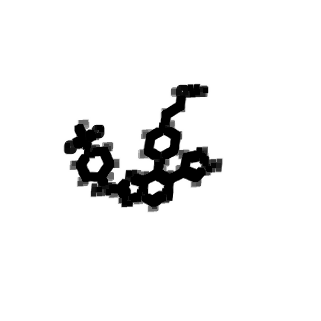 COCCN1CCN(c2c(-c3cn[nH]c3)ncn3nc(NC4CCN(S(C)(=O)=O)CC4)nc23)CC1